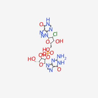 Nc1nc2c(ncn2[C@@H]2O[C@H](CO)[C@@H](O)[C@H]2OP(=O)(O)OC[C@H]2O[C@@H](n3nnc4c(=O)[nH]cnc43)[C@@H](Cl)[C@@H]2O)c(=O)[nH]1